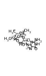 CCC[Si]1(C)OC2C(Cl)[C@H](n3cnc4c(=O)[nH]c(N)nc43)O[C@@H]2CO[Si](CCC)(CCC)O1